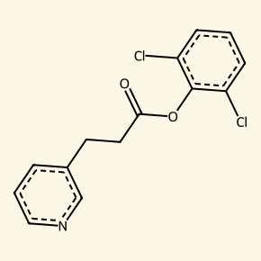 O=C(CCc1cccnc1)Oc1c(Cl)cccc1Cl